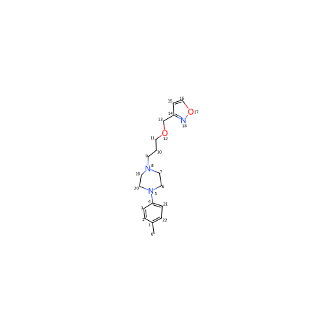 Cc1ccc(N2CCN(CCCOCc3ccon3)CC2)cc1